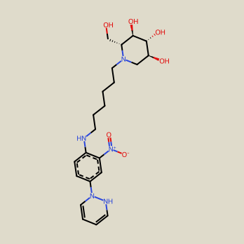 O=[N+]([O-])c1cc(N2C=CC=CN2)ccc1NCCCCCCN1C[C@H](O)[C@@H](O)[C@H](O)[C@H]1CO